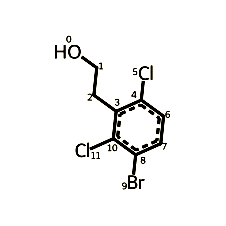 OCCc1c(Cl)ccc(Br)c1Cl